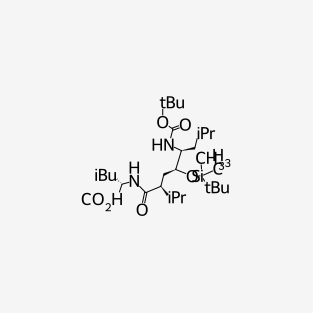 CCC(C)[C@H](NC(=O)[C@@H](C[C@H](O[Si](C)(C)C(C)(C)C)[C@H](CC(C)C)NC(=O)OC(C)(C)C)C(C)C)C(=O)O